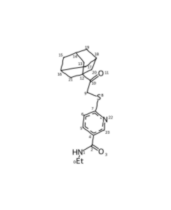 CCNC(=O)c1ccc(SCC(=O)C23CC4CC(CC(C4)C2)C3)nc1